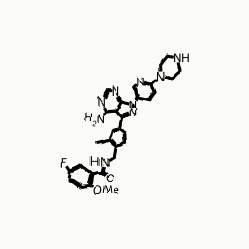 COc1ccc(F)cc1C(=O)NCc1ccc(-c2nn(-c3ccc(N4CCNCC4)nc3)c3ncnc(N)c23)cc1C